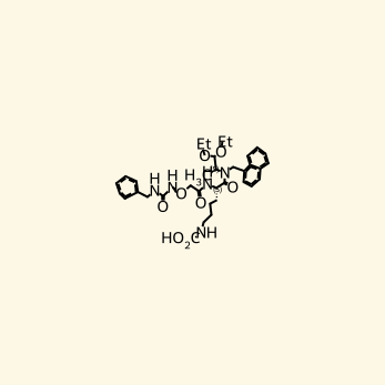 CCOC(OCC)[C@H](C)N(Cc1cccc2ccccc12)C(=O)[C@H](CCCCNC(=O)O)NC(=O)CONC(=O)NCc1ccccc1